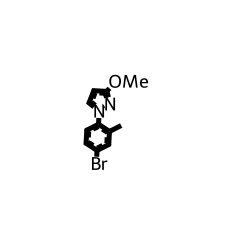 COc1ccn(-c2ccc(Br)cc2C)n1